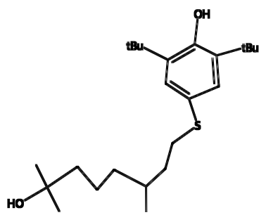 CC(CCCC(C)(C)O)CCSc1cc(C(C)(C)C)c(O)c(C(C)(C)C)c1